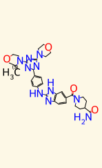 C[C@H]1COCCN1c1nc(-c2ccc(Nc3nc4ccc(C(=O)N5CCC(C(N)=O)CC5)cc4[nH]3)cc2)nc(N2CCOCC2)n1